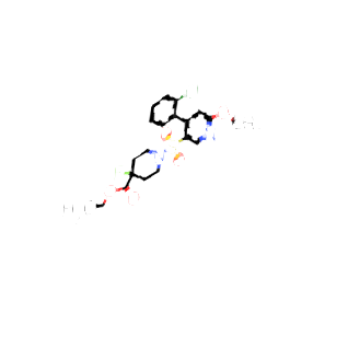 CCOC(=O)C1(F)CCN(S(=O)(=O)c2cnc(OC)cc2-c2ccccc2Cl)CC1